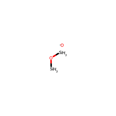 [O].[SiH3]O[SiH3]